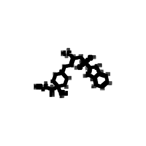 CC(=CCC1CCC(NC(=O)O)(C(C)(C)C)CC1)CS(=O)(=O)c1nc2ccccc2s1